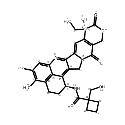 CC[Si@@]1(O)C(=O)OCc2c1cc1n(c2=O)Cc2c-1nc1cc(F)c(C)c3c1c2[C@@H](NC(=O)C1(CO)CCC1)CC3